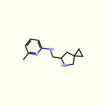 Cc1cccc(NCC2CC3(CC3)CN2)n1